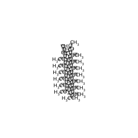 CCOC(=O)CCC(CC(CC(CC(CC(CC(CC(CC(CC(CC(CC(CC(CC(CC(C(=O)OCC)C(C)C)C(=O)OCC)C(=O)OCC)C(=O)OCC)C(=O)OCC)C(=O)OCC)C(=O)OCC)C(=O)OCC)C(=O)OCC)C(=O)OCC)C(=O)OCC)C(=O)OCC)C(=O)OCC)C(=O)OCC